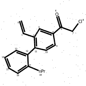 C=Cc1cc(C(=O)CCl)ccc1-c1ccccc1CCC